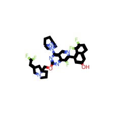 Oc1cc(-c2ncc3c(N4CC5CCC(C4)N5)nc(OCC45CCCN4CC(=CC(F)F)C5)nc3c2F)c2c(F)c(F)ccc2c1